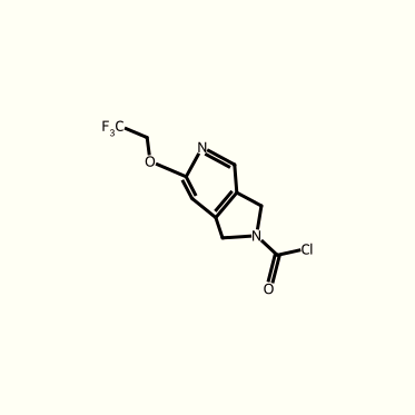 O=C(Cl)N1Cc2cnc(OCC(F)(F)F)cc2C1